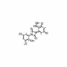 O=C1N(c2cc(Cl)cc(Cl)c2O)C(=O)N1c1cc(Cl)cc(Cl)c1NO